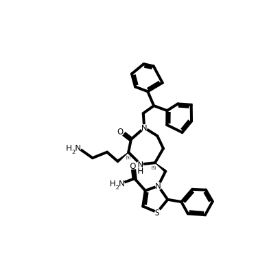 NCCC[C@@H]1N[C@H](CN2C(C(N)=O)=CSC2c2ccccc2)CCN(CC(c2ccccc2)c2ccccc2)C1=O